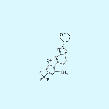 Cc1cc(C(F)(F)F)cc(O)c1-c1ccc2cn([C@H]3CCCOC3)nc2n1